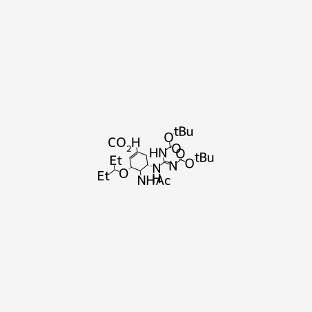 CCC(CC)O[C@@H]1C=C(C(=O)O)C[C@H](N/C(=N/C(=O)OC(C)(C)C)NC(=O)OC(C)(C)C)C1NC(C)=O